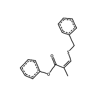 CC(=CSCc1ccccc1)C(=O)Oc1ccccc1